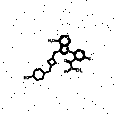 Cc1cncc2c1c(CC1CN(CC3CCC(O)CC3)C1)cn2-c1ccc(F)cc1C(=O)N(C)C(C)C